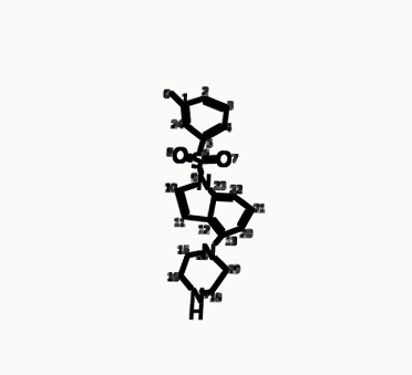 Cc1cccc(S(=O)(=O)n2ccc3c(N4CCNCC4)cccc32)c1